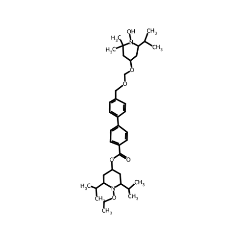 CCON1C(C(C)C)CC(OC(=O)c2ccc(-c3ccc(COCOC4CC(C(C)C)N(O)C(C)(C)C4)cc3)cc2)CC1C(C)C